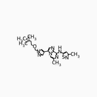 Cc1cc(Nc2nc(C)cn3c(-c4cnn(COCC[Si](C)(C)C)c4)cnc23)sn1